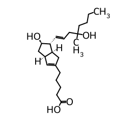 CCCCC(C)(O)CC=C[C@@H]1[C@H]2CC(CCCCC(=O)O)=C[C@H]2C[C@H]1O